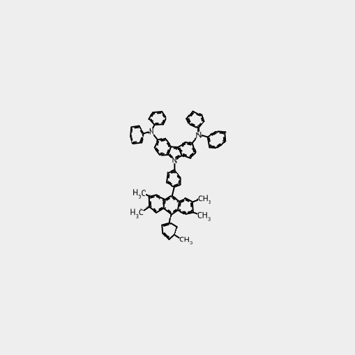 Cc1cc2c(C3=CC=CC(C)C3)c3cc(C)c(C)cc3c(-c3ccc(-n4c5ccc(N(c6ccccc6)c6ccccc6)cc5c5cc(N(c6ccccc6)c6ccccc6)ccc54)cc3)c2cc1C